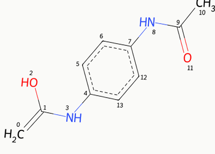 C=C(O)Nc1ccc(NC(C)=O)cc1